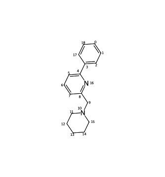 c1ccc(-c2cccc(CN3CCCCC3)n2)cc1